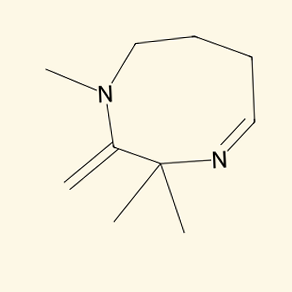 C=C1N(C)CCC/C=N\C1(C)C